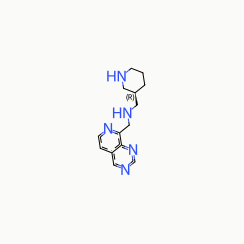 c1cc2cncnc2c(CNC[C@@H]2CCCNC2)n1